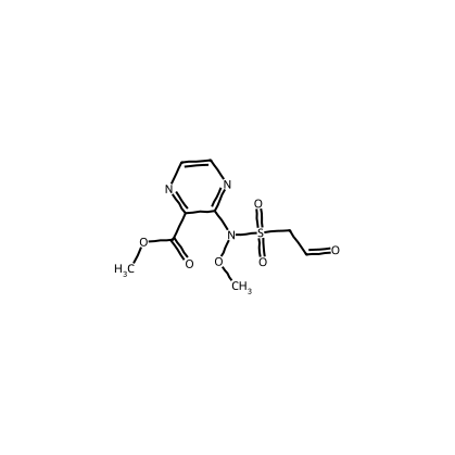 COC(=O)c1nccnc1N(OC)S(=O)(=O)CC=O